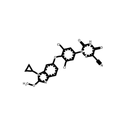 COc1nc2ccc(Oc3c(Cl)cc(-n4nc(C#N)c(=O)[nH]c4=O)cc3Cl)cc2n1C1CC1